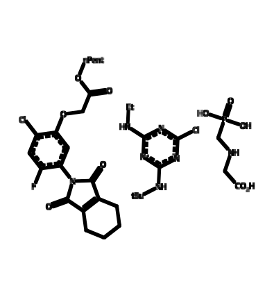 CCCCCOC(=O)COc1cc(N2C(=O)C3=C(CCCC3)C2=O)c(F)cc1Cl.CCNc1nc(Cl)nc(NC(C)(C)C)n1.O=C(O)CNCP(=O)(O)O